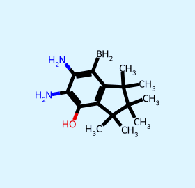 Bc1c(N)c(N)c(O)c2c1C(C)(C)C(C)(C)C2(C)C